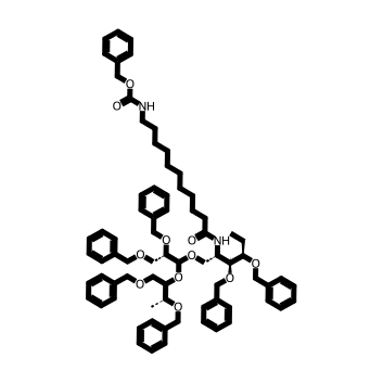 CC[C@@H](OCc1ccccc1)[C@@H](OCc1ccccc1)[C@H](COC(OC(COCc1ccccc1)[C@@H](C)OCc1ccccc1)[C@H](COCc1ccccc1)OCc1ccccc1)NC(=O)CCCCCCCCCCNC(=O)OCc1ccccc1